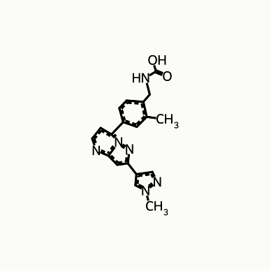 Cc1cc(-c2ccnc3cc(-c4cnn(C)c4)nn23)ccc1CNC(=O)O